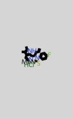 C=CCC(c1nccc2c(C)c(C)[nH]c12)N(C(=S)NC)c1ccc(F)cc1.Cl